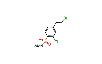 CNS(=O)(=O)c1ccc(CCBr)cc1Cl